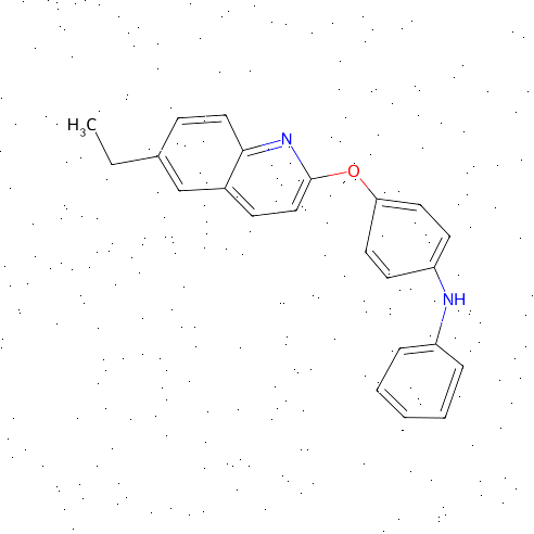 CCc1ccc2nc(Oc3ccc(Nc4ccccc4)cc3)ccc2c1